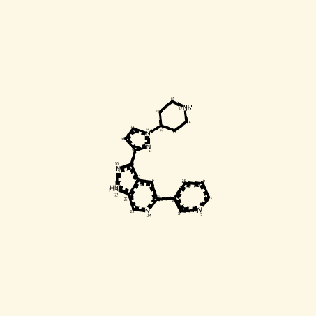 c1cncc(-c2cc3c(-c4ccn(C5CCNCC5)n4)n[nH]c3cn2)c1